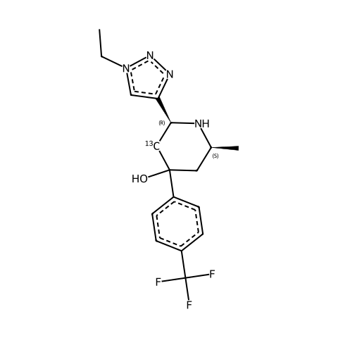 CCn1cc([C@@H]2[13CH2]C(O)(c3ccc(C(F)(F)F)cc3)C[C@H](C)N2)nn1